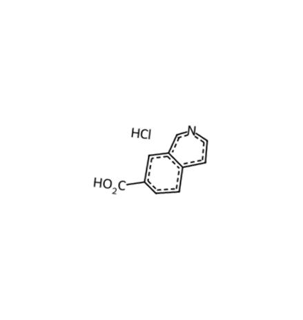 Cl.O=C(O)c1ccc2ccncc2c1